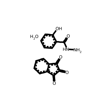 NNC(=O)c1ccccc1O.O.O=c1c(=O)c2ccccc2c1=O